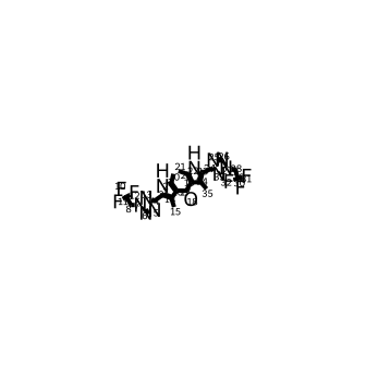 Cc1[nH]c(-c2nnn(CC(F)(F)F)n2)c(C)c1C(=O)c1c(C)[nH]c(-c2nnn(CC(F)(F)F)n2)c1C